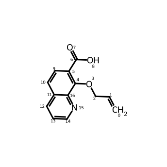 C=CCOc1c(C(=O)O)ccc2cccnc12